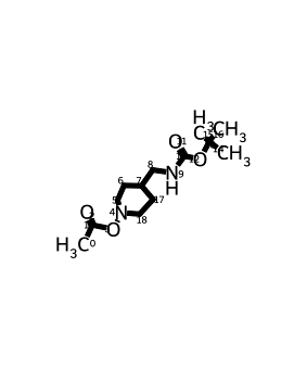 CC(=O)ON1CCC(CNC(=O)OC(C)(C)C)CC1